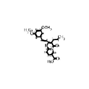 CCCc1c(C=Cc2cc(OC)cc(OC)c2)nc2ccc(C(=O)O)cn2c1=O